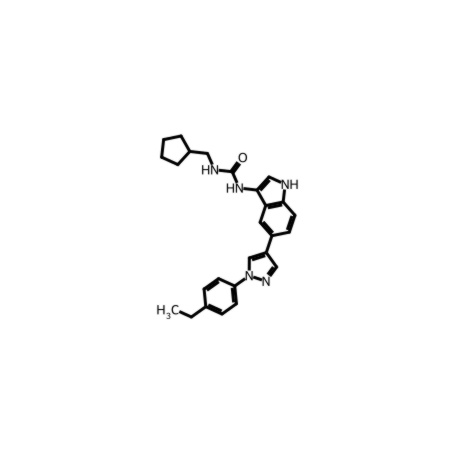 CCc1ccc(-n2cc(-c3ccc4[nH]cc(NC(=O)NCC5CCCC5)c4c3)cn2)cc1